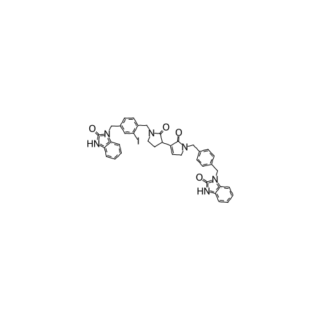 O=C1C(C2CCN(Cc3ccc(Cn4c(=O)[nH]c5ccccc54)cc3I)C2=O)=CCN1Cc1ccc(Cn2c(=O)[nH]c3ccccc32)cc1